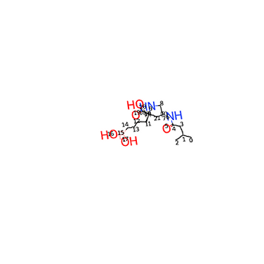 CC(C)CC(=O)N[C@H]1CN[C@@](CCCCB(O)O)(C(=O)O)C1